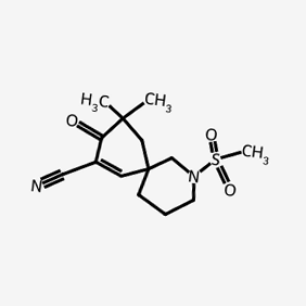 CC1(C)CC2(C=C(C#N)C1=O)CCCN(S(C)(=O)=O)C2